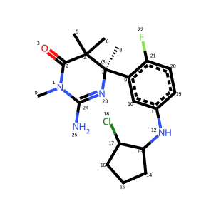 CN1C(=O)C(C)(C)[C@@](C)(c2cc(NC3CCCC3Cl)ccc2F)N=C1N